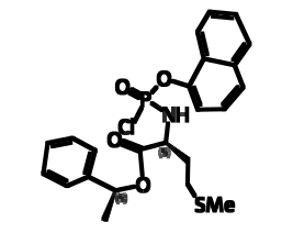 CSCC[C@H](NP(=O)(Cl)Oc1cccc2ccccc12)C(=O)O[C@@H](C)c1ccccc1